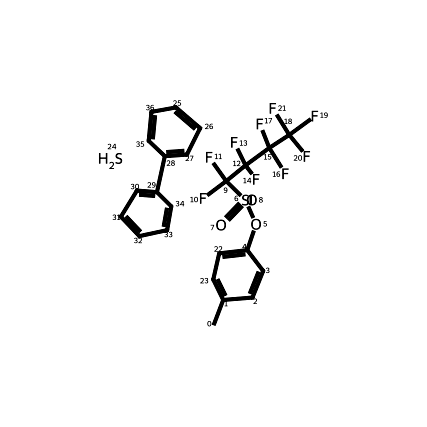 Cc1ccc(OS(=O)(=O)C(F)(F)C(F)(F)C(F)(F)C(F)(F)F)cc1.S.c1ccc(-c2ccccc2)cc1